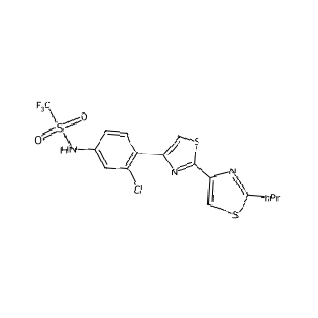 CCCc1nc(-c2nc(-c3ccc(NS(=O)(=O)C(F)(F)F)cc3Cl)cs2)cs1